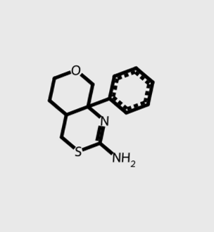 NC1=NC2(c3ccccc3)COCCC2CS1